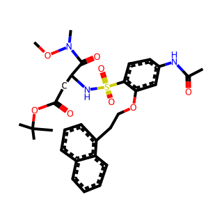 CON(C)C(=O)C(CC(=O)OC(C)(C)C)NS(=O)(=O)c1ccc(NC(C)=O)cc1OCCc1cccc2ccccc12